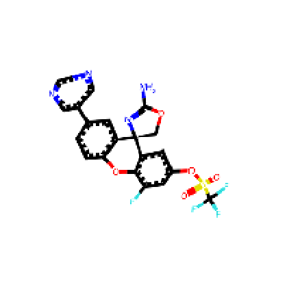 NC1=N[C@@]2(CO1)c1cc(-c3cncnc3)ccc1Oc1c(F)cc(OS(=O)(=O)C(F)(F)F)cc12